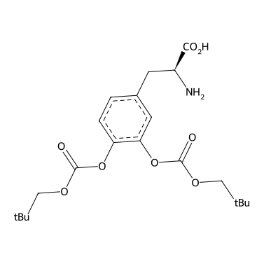 CC(C)(C)COC(=O)Oc1ccc(C[C@H](N)C(=O)O)cc1OC(=O)OCC(C)(C)C